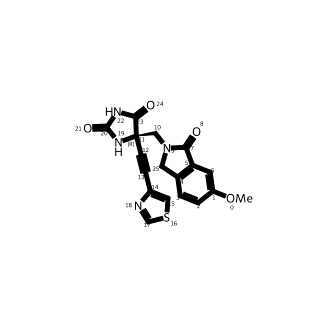 COc1ccc2c(c1)C(=O)N(C[C@@]1(C#Cc3cscn3)NC(=O)NC1=O)C2